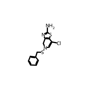 Nc1nc2c(s1)C(Cl)=CN(SCc1ccccc1)C2